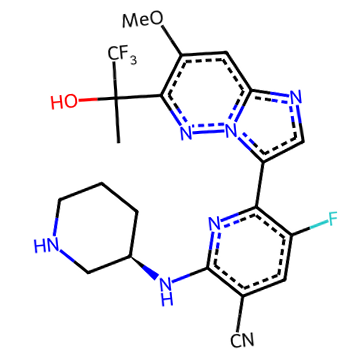 COc1cc2ncc(-c3nc(N[C@@H]4CCCNC4)c(C#N)cc3F)n2nc1C(C)(O)C(F)(F)F